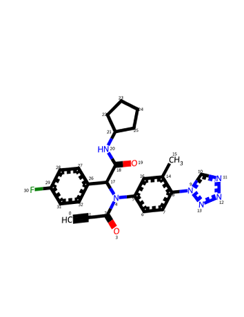 C#CC(=O)N(c1ccc(-n2cnnn2)c(C)c1)C(C(=O)NC1CCCC1)c1ccc(F)cc1